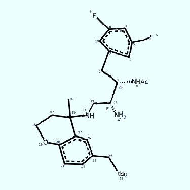 CC(=O)N[C@@H](Cc1cc(F)cc(F)c1)[C@H](N)CNC1(C)CCOc2ccc(CC(C)(C)C)cc21